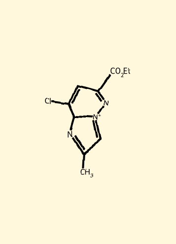 CCOC(=O)C1=N[N+]2=CC(C)=NC2C(Cl)=C1